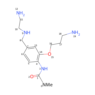 CNC(=O)Nc1ccc(CNCCN)cc1OCCCN